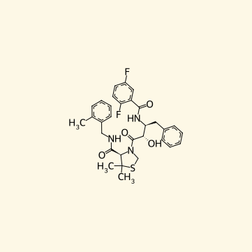 Cc1ccccc1CNC(=O)[C@H]1N(C(=O)[C@@H](O)[C@H](Cc2ccccc2)NC(=O)c2cc(F)ccc2F)CSC1(C)C